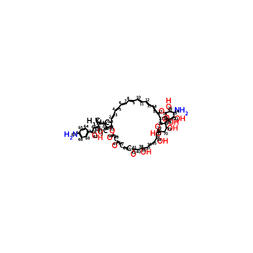 CC1/C=C/C=C/C=C/C=C/C=C/C=C/C=C/C(O[C@@H]2OC[C@@H](O)[C@H](N)[C@@H]2O)CC2OC(O)(CC(O)CCCC(O)CC(=O)CCCC(=O)CC(=O)OC1C(C)CC(C)C(O)CC(=O)c1ccc(N)cc1)CC(O)C2C(=O)O